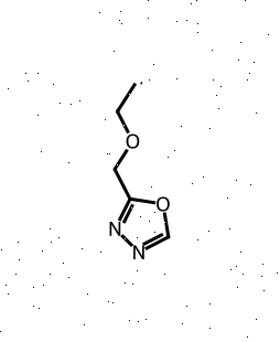 [CH2]COCc1nnco1